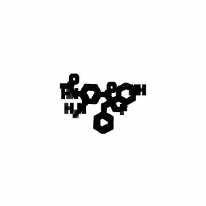 CC(=O)Nc1ccc(C(=O)C(CF)(Cc2ccccc2)C2CCNCC2)cc1N